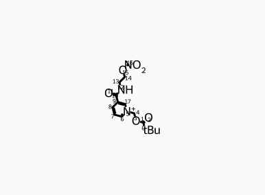 CC(C)(C)C(=O)OC[n+]1cccc(C(=O)NCCO[N+](=O)[O-])c1